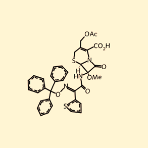 CO[C@@]1(NC(=O)C(=NOC(c2ccccc2)(c2ccccc2)c2ccccc2)c2cccs2)C(=O)N2C(C(=O)O)=C(COC(C)=O)CS[C@@H]21